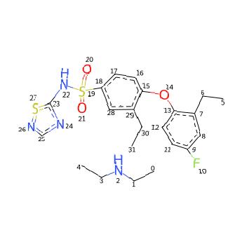 CCNCC.CCc1cc(F)ccc1Oc1ccc(S(=O)(=O)Nc2ncns2)cc1CC